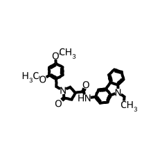 CCn1c2ccccc2c2cc(NC(=O)C3CC(=O)N(Cc4ccc(OC)cc4OC)C3)ccc21